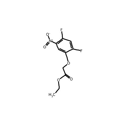 CCOC(=O)COc1cc([N+](=O)[O-])c(F)cc1F